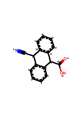 N#CC1c2ccccc2C(C(=O)O)c2ccccc21